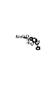 COCC(=O)Nc1ccc2ccc3ncc(-c4ccccc4)cc3c(=O)c2c1